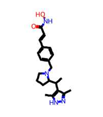 Cc1n[nH]c(C)c1C(C)C1CCCN1Cc1ccc(C=CC(=O)NO)cc1